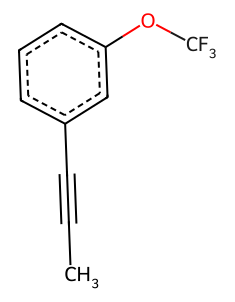 CC#Cc1cccc(OC(F)(F)F)c1